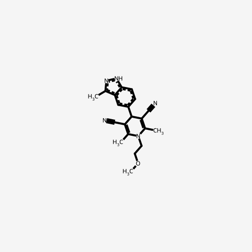 COCCN1C(C)=C(C#N)C(c2ccc3[nH]nc(C)c3c2)C(C#N)=C1C